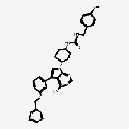 COc1ccc(CNC(=O)N[C@H]2CC[C@@H](n3cc(-c4cccc(OCc5ccccc5)c4)c4c(N)ncnc43)CC2)cc1